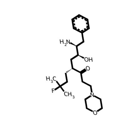 CC(C)(F)CC[C@H](C[C@H](O)[C@@H](N)Cc1ccccc1)C(=O)CCN1CCOCC1